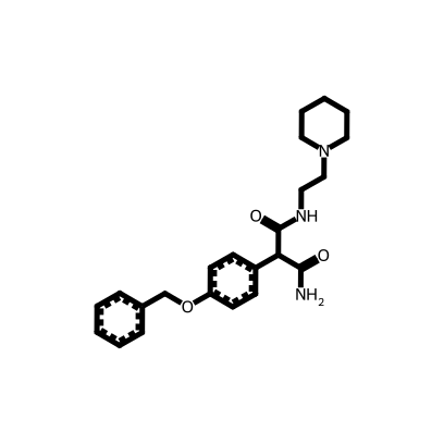 NC(=O)C(C(=O)NCCN1CCCCC1)c1ccc(OCc2ccccc2)cc1